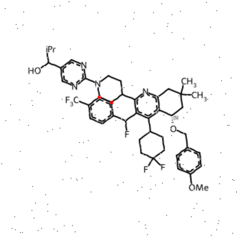 COc1ccc(CO[C@H]2CC(C)(C)Cc3nc(C4CCN(c5ncc(C(O)C(C)C)cn5)CC4)c(C(F)c4ccc(C(F)(F)F)cc4)c(C4CCC(F)(F)CC4)c32)cc1